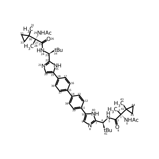 CC(=O)N[C@@](C)(C(=O)N[C@H](c1ncc(-c2ccc(-c3ccc(-c4cnc([C@@H](NC(=O)[C@](C)(NC(C)=O)C5(C)CC5)C(C)(C)C)[nH]4)cc3)cc2)[nH]1)C(C)(C)C)C1(C)CC1